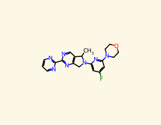 CC1c2cnc(-c3ncccn3)nc2CN1c1cc(F)cc(N2CCOCC2)n1